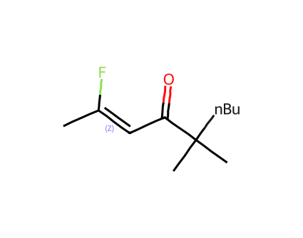 CCCCC(C)(C)C(=O)/C=C(/C)F